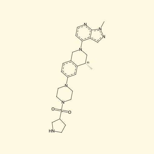 C[C@H]1CN(c2ccnc3c2cnn3C)Cc2ccc(N3CCN(S(=O)(=O)C4CCNC4)CC3)cc21